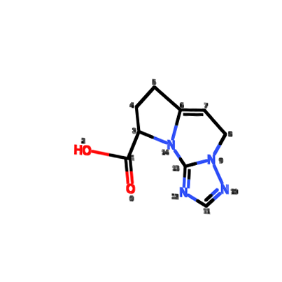 O=C(O)C1CCC2=CCn3ncnc3N21